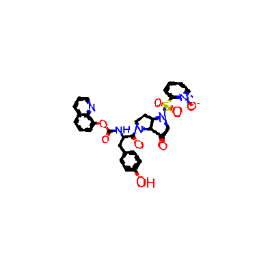 O=C(NC(Cc1ccc(O)cc1)C(=O)N1CCC2C1C(=O)CN2S(=O)(=O)c1cccc[n+]1[O-])Oc1cccc2cccnc12